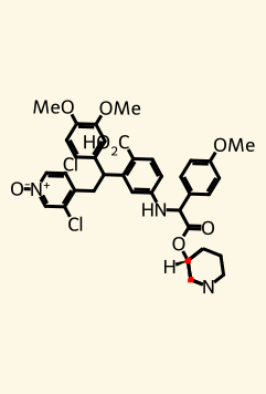 COc1ccc(C(Nc2ccc(C(=O)O)c(C(Cc3c(Cl)c[n+]([O-])cc3Cl)c3ccc(OC)c(OC)c3)c2)C(=O)O[C@H]2CN3CCC2CC3)cc1